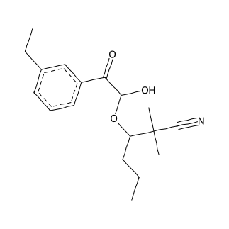 CCCC(OC(O)C(=O)c1cccc(CC)c1)C(C)(C)C#N